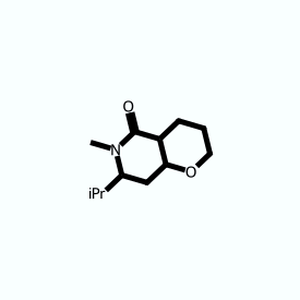 CC(C)C1CC2OCCCC2C(=O)N1C